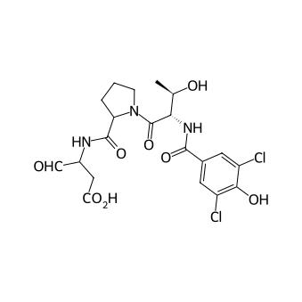 C[C@@H](O)[C@H](NC(=O)c1cc(Cl)c(O)c(Cl)c1)C(=O)N1CCCC1C(=O)NC(C=O)CC(=O)O